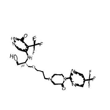 O=C1CN(CCCOC[C@H](CO)Nc2cn[nH]c(=O)c2C(F)(F)F)CCN1c1ncc(C(F)(F)F)cn1